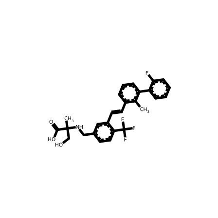 Cc1c(C=Cc2cc(CNC(C)(CO)C(=O)O)ccc2C(F)(F)F)cccc1-c1ccccc1F